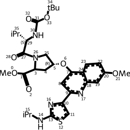 COC(=O)C1C[C@@H](Oc2cc(-c3csc(NC(C)C)n3)nc3cc(OC)ccc23)CN1C(=O)[C@@H](NC(=O)OC(C)(C)C)C(C)C